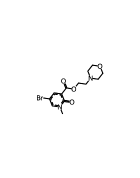 Cn1cc(Br)cc(C(=O)OCCN2CCOCC2)c1=O